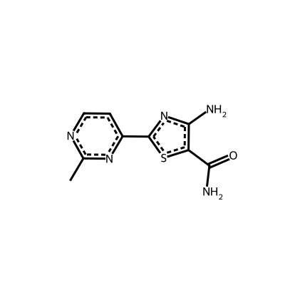 Cc1nccc(-c2nc(N)c(C(N)=O)s2)n1